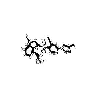 Cc1cn(-c2cc(C)c(S(=O)(=O)c3cn(C)c4cccc(CO)c34)cn2)cn1